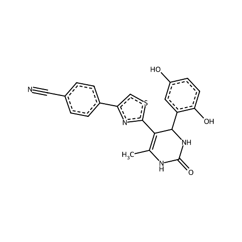 CC1=C(c2nc(-c3ccc(C#N)cc3)cs2)C(c2cc(O)ccc2O)NC(=O)N1